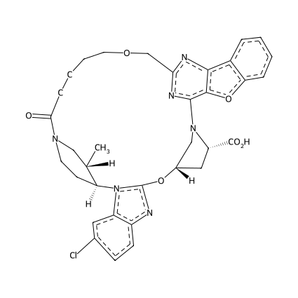 C[C@H]1CN2CC[C@@H]1n1c(nc3ccc(Cl)cc31)O[C@H]1C[C@@H](C(=O)O)N(C1)c1nc(nc3c1oc1ccccc13)COCCCCC2=O